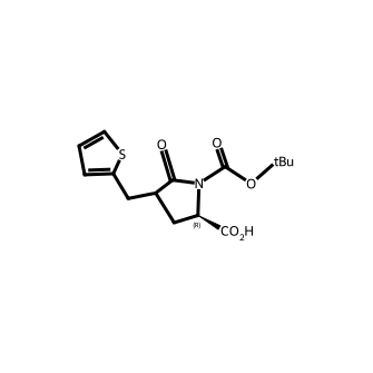 CC(C)(C)OC(=O)N1C(=O)C(Cc2cccs2)C[C@@H]1C(=O)O